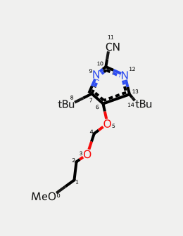 COCCOCOc1c(C(C)(C)C)nc(C#N)nc1C(C)(C)C